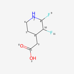 O=C(O)CC1CCNC(F)C1F